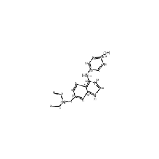 CCN(CC)Cc1ccc2c(Nc3ccc(O)cc3)ncnc2c1